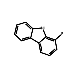 Fc1cccc2c1[nH]c1ccccc12